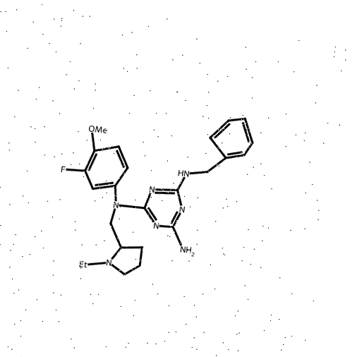 CCN1CCCC1CN(c1ccc(OC)c(F)c1)c1nc(N)nc(NCc2ccccc2)n1